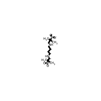 CC(C)(CNCCCCNCC(C)(C)[N+](=O)[O-])[N+](=O)[O-]